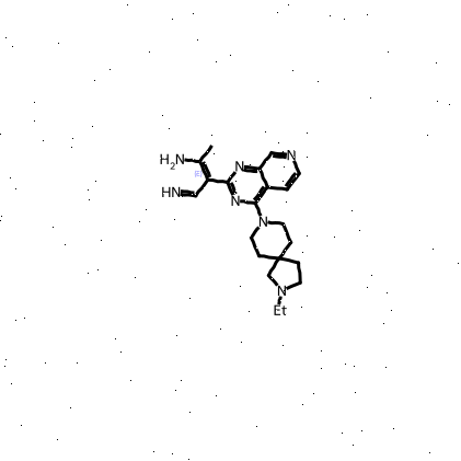 CCN1CCC2(CCN(c3nc(/C(C=N)=C(\C)N)nc4cnccc34)CC2)C1